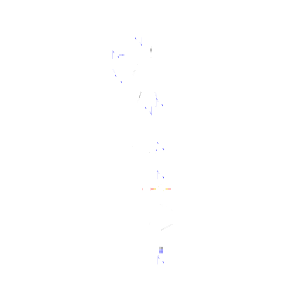 CCC(CN1CCN(S(=O)(=O)c2ccc(C#N)cc2)CC1)n1cc(-c2ncnc3[nH]ccc23)cn1